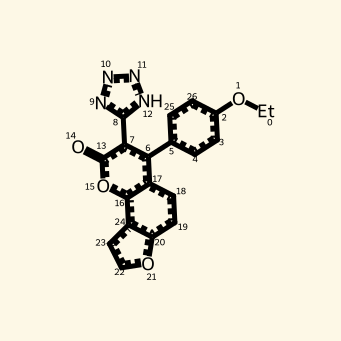 CCOc1ccc(-c2c(-c3nnn[nH]3)c(=O)oc3c2ccc2occc23)cc1